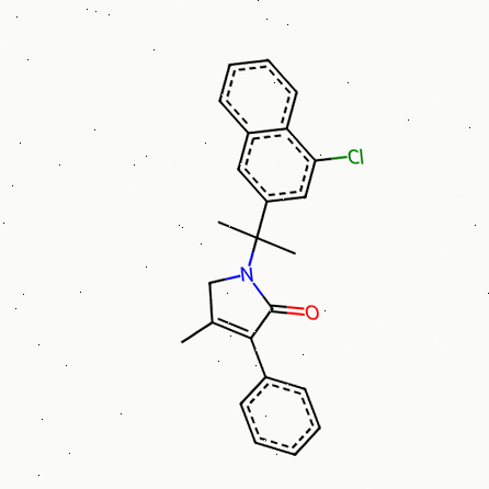 CC1=C(c2ccccc2)C(=O)N(C(C)(C)c2cc(Cl)c3ccccc3c2)C1